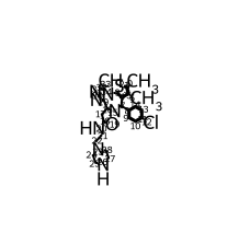 Cc1sc2c(c1C)C(c1ccc(Cl)cc1)=NC(CC(=O)NCCN1CCNCC1)c1nnc(C)n1-2